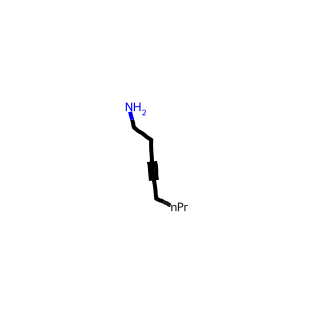 CCCCC#CCCN